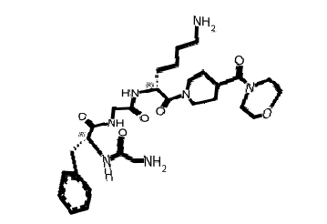 NCCCC[C@@H](NC(=O)CNC(=O)[C@@H](Cc1ccccc1)NC(=O)CN)C(=O)N1CCC(C(=O)N2CCOCC2)CC1